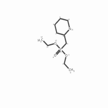 CCOP(=O)(CC1CCCC[N]1)OCC